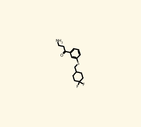 NCCC(=O)c1cccc(SCC2CCC(F)(F)CC2)c1